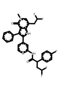 Cn1cc(CC(F)F)c2[nH]c(-c3ccnc(NC(=O)C(CC(F)F)c4ccc(F)cc4)c3)c(-c3ccccc3)c2c1=O